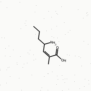 CCCC(N)C=C(C)C(=O)O